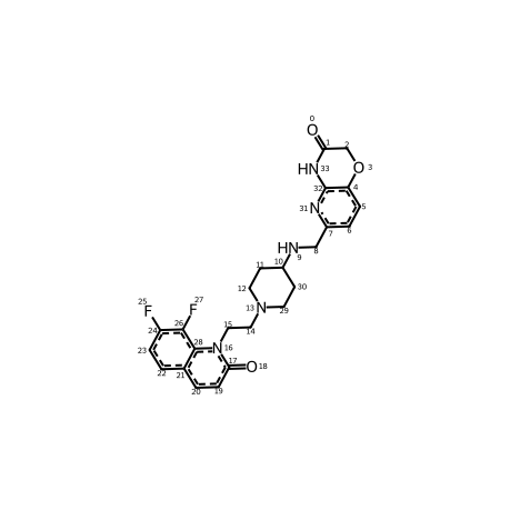 O=C1COc2ccc(CNC3CCN(CCn4c(=O)ccc5ccc(F)c(F)c54)CC3)nc2N1